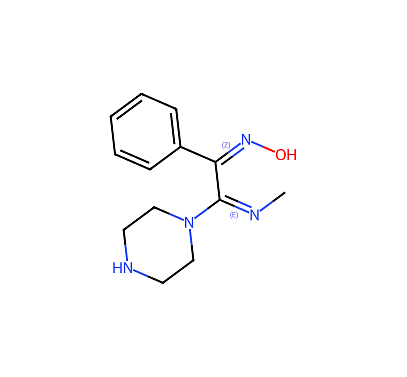 C/N=C(\C(=N/O)c1ccccc1)N1CCNCC1